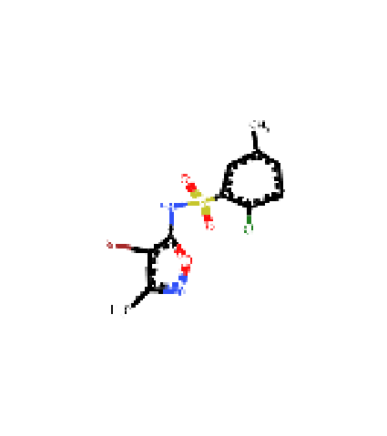 Cc1ccc(Cl)c(S(=O)(=O)Nc2onc(C)c2Br)c1